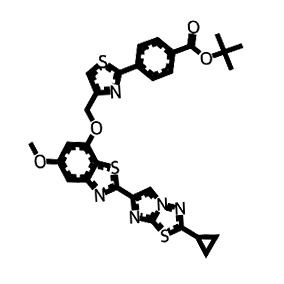 COc1cc(OCc2csc(-c3ccc(C(=O)OC(C)(C)C)cc3)n2)c2sc(-c3cn4nc(C5CC5)sc4n3)nc2c1